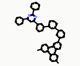 Cc1ccc2c(c1)c1ccc(C)cc1c1ccc(-c3cccc(-c4cccc(-c5cccc(-c6cc(-c7ccccc7)nc(-c7ccccc7)n6)c5)c4)c3)cc21